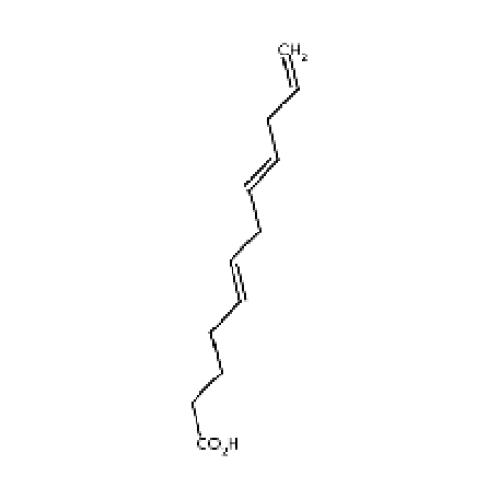 C=CCC=CCC=CCCCC(=O)O